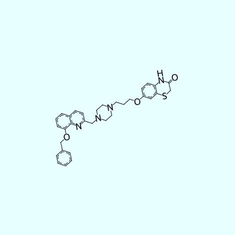 O=C1CSc2cc(OCCCN3CCN(Cc4ccc5cccc(OCc6ccccc6)c5n4)CC3)ccc2N1